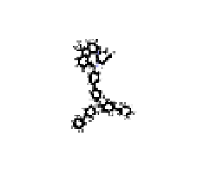 C#C/C=C(\C=C/C)N(c1ccc(-c2ccc(N(c3ccc(-c4ccccc4)cc3)c3ccc(-c4ccccc4)cc3)cc2)cc1)c1cccc2c1-c1ccccc1C2(C)C